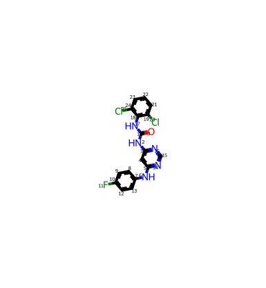 O=C(Nc1cc(Nc2ccc(F)cc2)ncn1)Nc1c(Cl)cccc1Cl